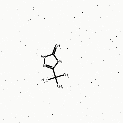 C=C1NN=C(C(C)(C)C)N1